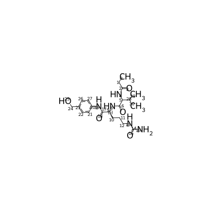 CCC(=O)NC(C(=O)N[C@@H](CCCNC(N)=O)C(=O)Nc1ccc(CO)cc1)C(C)C